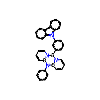 C1=CB2N(C=C1)B(c1cccc(-n3c4ccccc4c4ccccc43)c1)N1C=CC=CB1N2c1ccccc1